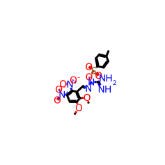 COc1cc([N+](=O)[O-])c([N+](=O)[O-])c(C=NN(OS(=O)(=O)c2ccc(C)cc2)C(=N)N)c1OC